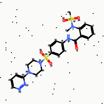 CN(c1ccccc1C(=O)Nc1ccc(S(=O)(=O)N2CCN(c3cccnn3)CC2)cc1)S(C)(=O)=O